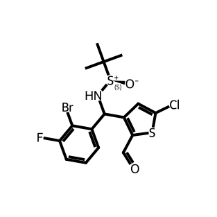 CC(C)(C)[S@@+]([O-])NC(c1cc(Cl)sc1C=O)c1cccc(F)c1Br